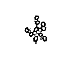 Cc1ccc(N2B3c4cc5oc6ccccc6c5cc4-n4c5ccc6ccccc6c5c5c(-c6ccc7c(c6)sc6ccccc67)cc(c3c54)-c3c2ccc2c3sc3ccccc32)cc1